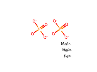 O=P([O-])([O-])[O-].O=P([O-])([O-])[O-].[Fe+2].[Mn+2].[Mn+2]